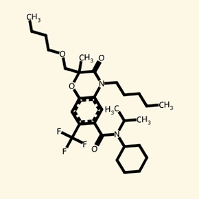 CCCCCN1C(=O)C(C)(COCCCC)Oc2cc(C(F)(F)F)c(C(=O)N(C(C)C)C3CCCCC3)cc21